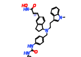 CCNC(=O)Nc1ccc(CN(CCc2cn(C)c3ccccc23)C2CCc3cc(/C=C/C(=O)NO)ccc32)cc1